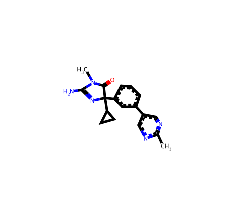 Cc1ncc(-c2cccc(C3(C4CC4)N=C(N)N(C)C3=O)c2)cn1